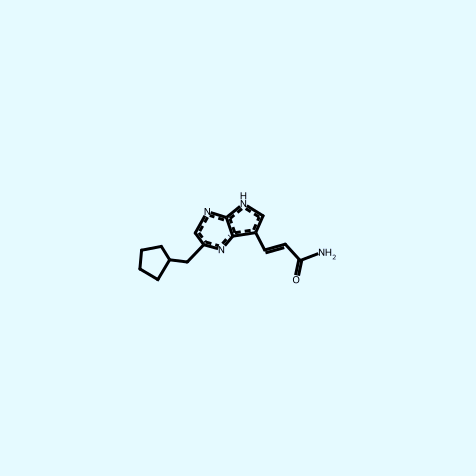 NC(=O)/C=C/c1c[nH]c2ncc(CC3CCCC3)nc12